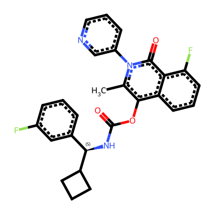 Cc1c(OC(=O)N[C@H](c2cccc(F)c2)C2CCC2)c2cccc(F)c2c(=O)n1-c1cccnc1